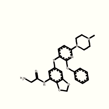 CN1CCN(c2ccc(Sc3cc(NC(=O)CN)c4c(c3)OCO4)c(Oc3ccccc3)n2)CC1